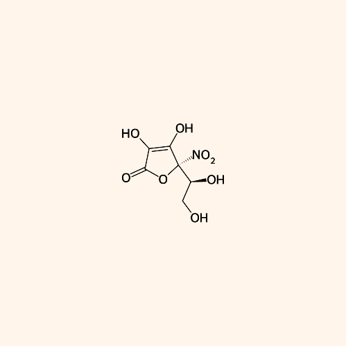 O=C1O[C@@]([C@@H](O)CO)([N+](=O)[O-])C(O)=C1O